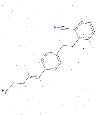 CCCC(F)=C(F)c1ccc(CCc2c(F)cccc2C#N)cc1